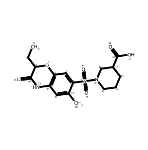 CCC1Oc2cc(S(=O)(=O)N3CCCC(C(=O)O)C3)c(C)cc2NC1=O